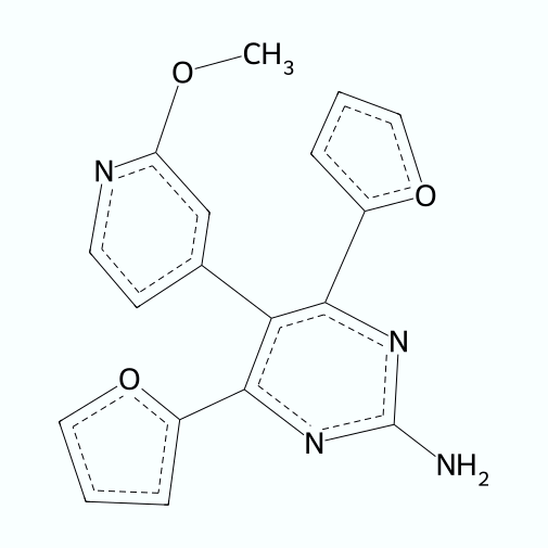 COc1cc(-c2c(-c3ccco3)nc(N)nc2-c2ccco2)ccn1